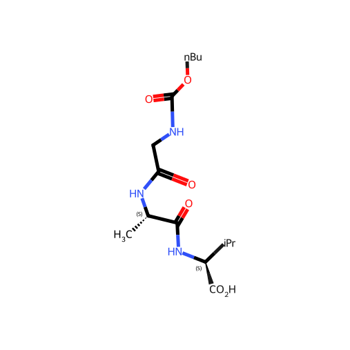 CCCCOC(=O)NCC(=O)N[C@@H](C)C(=O)N[C@H](C(=O)O)C(C)C